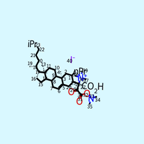 CCCC1C[C@@]2(C)C(=CCC3C2CC[C@@]2(C)C3CC[C@@H]2[C@H](C)CCCC(C)C)CC1[C@](C(=O)O)(C(=O)C(=O)ON(C)C)[N+](C)(C)C.[I-]